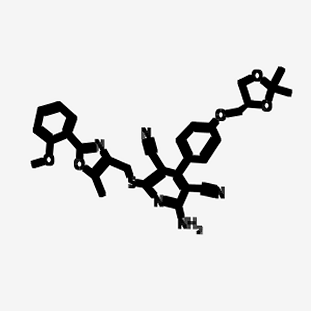 COc1ccccc1-c1nc(CSc2nc(N)c(C#N)c(-c3ccc(OC[C@H]4COC(C)(C)O4)cc3)c2C#N)c(C)o1